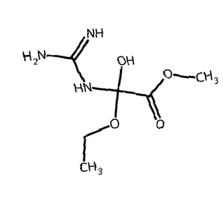 CCOC(O)(NC(=N)N)C(=O)OC